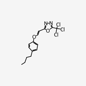 CCCCc1ccc(OC=Cc2nnc(C(Cl)(Cl)Cl)o2)cc1